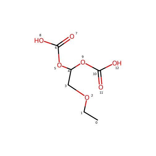 CCOCC(OC(=O)O)OC(=O)O